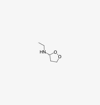 CCN[C]1CCOO1